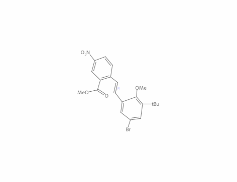 COC(=O)c1cc([N+](=O)[O-])ccc1/C=C/c1cc(Br)cc(C(C)(C)C)c1OC